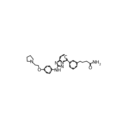 NC(=O)CCCc1cccc(-c2cccc3nc(Nc4ccc(OCCN5CCCC5)cc4)nn23)c1